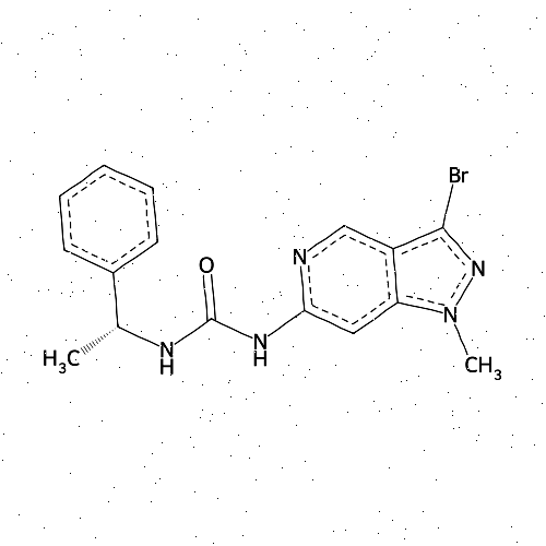 C[C@@H](NC(=O)Nc1cc2c(cn1)c(Br)nn2C)c1ccccc1